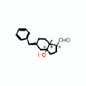 C[C@]12CCC(=Cc3ccccc3)C[C@@]1(O)CC[C@@H]2C=O